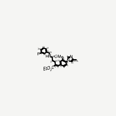 CCOC(=O)C(=Cc1ccc(-n2cnc(C)c2)c(OC)c1)CCCNCc1cccc(F)c1